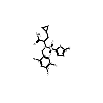 NC(=O)C(CC1CC1)N(Cc1cc(F)c(Cl)cc1F)S(=O)(=O)c1ccc(Cl)s1